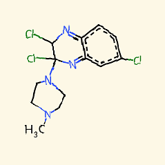 CN1CCN(C2(Cl)N=c3cc(Cl)ccc3=NC2Cl)CC1